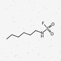 CCCCCCNS(=O)(=O)F